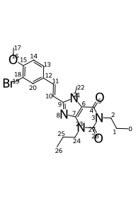 CCCn1c(=O)c2c(nc(C=Cc3ccc(OC)c(Br)c3)n2C)n(CCC)c1=O